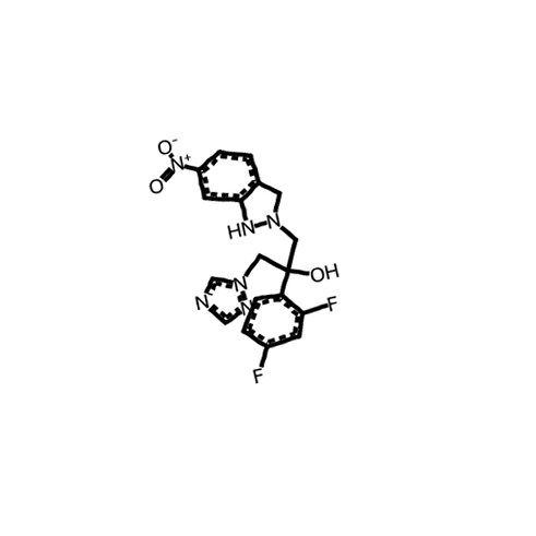 O=[N+]([O-])c1ccc2c(c1)NN(CC(O)(Cn1cncn1)c1ccc(F)cc1F)C2